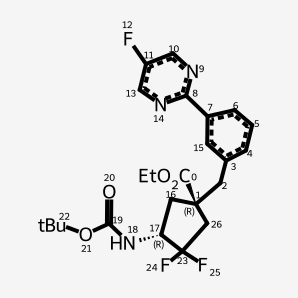 CCOC(=O)[C@]1(Cc2cccc(-c3ncc(F)cn3)c2)C[C@@H](NC(=O)OC(C)(C)C)C(F)(F)C1